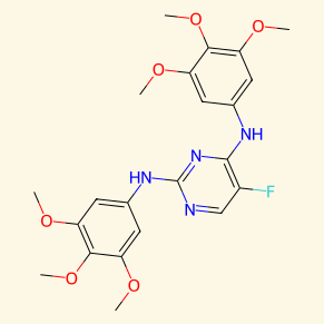 COc1cc(Nc2ncc(F)c(Nc3cc(OC)c(OC)c(OC)c3)n2)cc(OC)c1OC